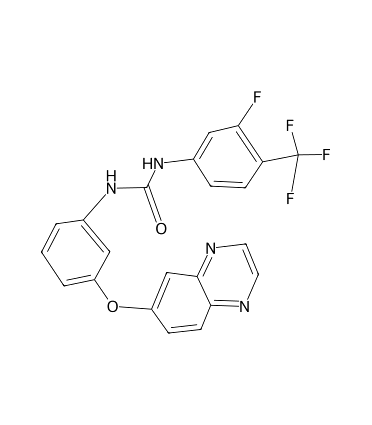 O=C(Nc1cccc(Oc2ccc3nccnc3c2)c1)Nc1ccc(C(F)(F)F)c(F)c1